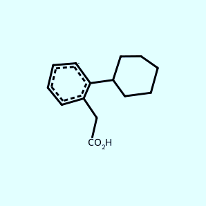 O=C(O)Cc1ccc[c]c1C1CCCCC1